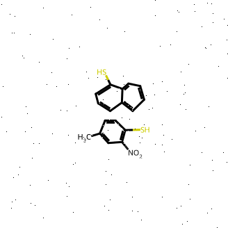 Cc1ccc(S)c([N+](=O)[O-])c1.Sc1cccc2ccccc12